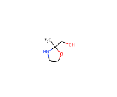 OCC1(C(F)(F)F)NCCO1